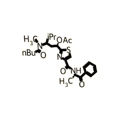 CCCCC(=O)N(C)C(C[C@@H](OC(C)=O)c1nc(C(=O)N[C@H](C)C(=O)c2ccccc2)cs1)C(C)C